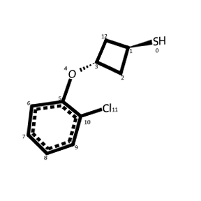 S[C@H]1C[C@H](Oc2ccccc2Cl)C1